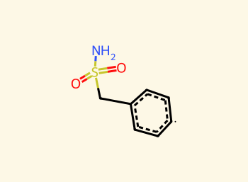 NS(=O)(=O)Cc1cc[c]cc1